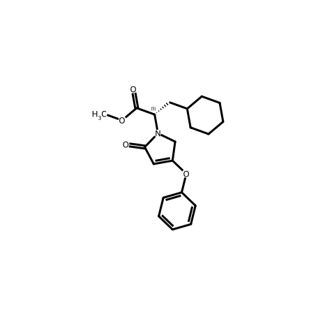 COC(=O)[C@H](CC1CCCCC1)N1CC(Oc2ccccc2)=CC1=O